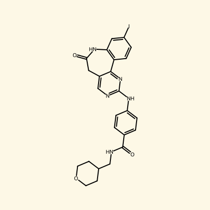 O=C1Cc2cnc(Nc3ccc(C(=O)NCC4CCOCC4)cc3)nc2-c2ccc(I)cc2N1